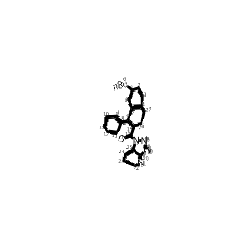 CCCCc1ccc2c(c1)C(c1ccccc1)C(C(=O)n1nnc3ncccc31)CC2